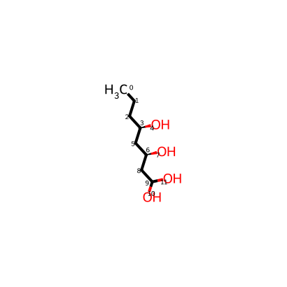 CCC[C@@H](O)C[C@@H](O)CC(O)O